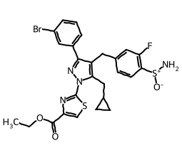 CCOC(=O)c1csc(-n2nc(-c3cccc(Br)c3)c(Cc3ccc([S+](N)[O-])c(F)c3)c2CC2CC2)n1